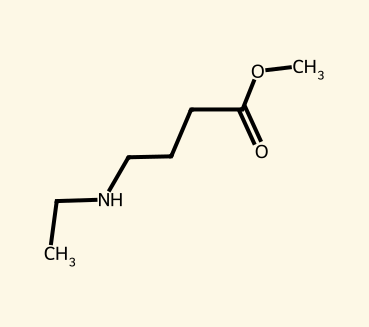 CCNCCCC(=O)OC